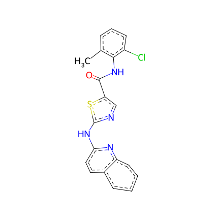 Cc1cccc(Cl)c1NC(=O)c1cnc(Nc2ccc3ccccc3n2)s1